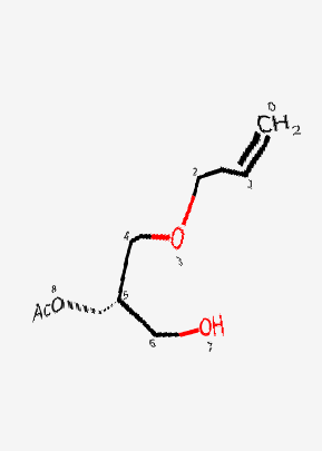 C=CCOC[C@H](CO)OC(C)=O